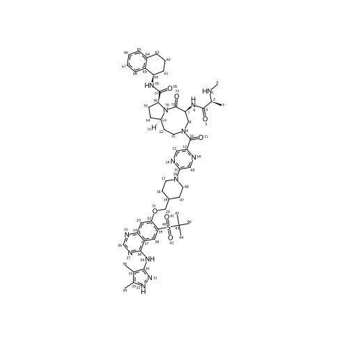 CN[C@@H](C)C(=O)N[C@H]1CN(C(=O)c2cnc(N3CCC(COc4cc5ncnc(Nc6n[nH]c(C)c6C)c5cc4S(=O)(=O)C(C)(C)C)CC3)cn2)CC[C@H]2CC[C@@H](C(=O)N[C@@H]3CCCc4ccccc43)N2C1=O